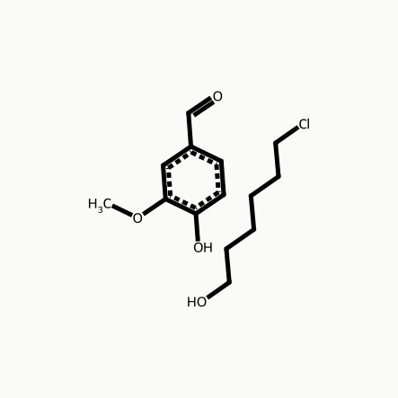 COc1cc(C=O)ccc1O.OCCCCCCCl